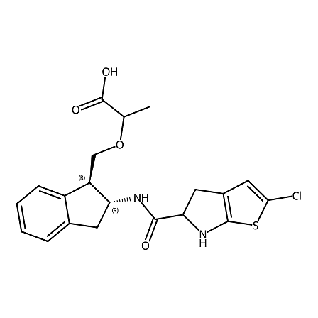 CC(OC[C@@H]1c2ccccc2C[C@H]1NC(=O)C1Cc2cc(Cl)sc2N1)C(=O)O